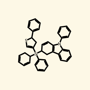 C1=CCC([Si](C2=CSC(c3ccccc3)C2)(c2ccccc2)C2C=Cc3c(c4ccccc4n3-c3ccccc3)C2)C=C1